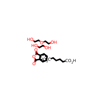 O=C(O)CCCCC(=O)O.O=C1OC(=O)c2ccccc21.OCCO.OCCOCCO